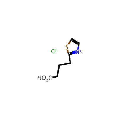 O=C(O)CCCC1=[N+]C=CS1.[Cl-]